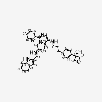 CC1(c2ccc(CCCNc3cnc(-c4ccccc4)n(CC(=O)NCc4cc5cnccc5[nH]4)c3=O)cc2)COC1